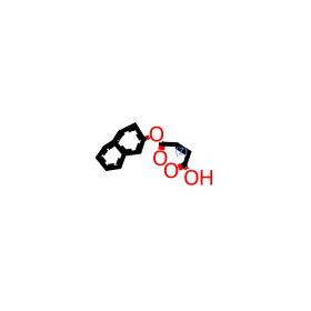 O=C(O)/C=C\C(=O)Oc1ccc2ccccc2c1